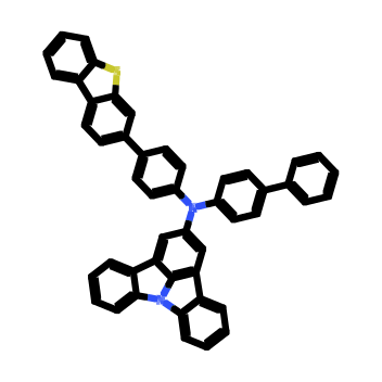 c1ccc(-c2ccc(N(c3ccc(-c4ccc5c(c4)sc4ccccc45)cc3)c3cc4c5ccccc5n5c6ccccc6c(c3)c45)cc2)cc1